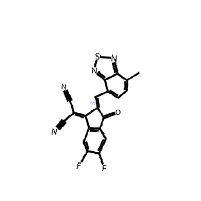 Cc1ccc(/C=C2\C(=O)c3cc(F)c(F)cc3C2=C(C#N)C#N)c2nsnc12